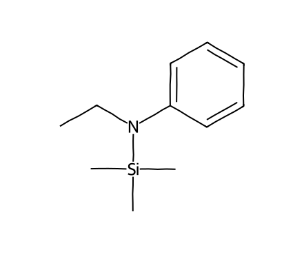 CCN(c1ccccc1)[Si](C)(C)C